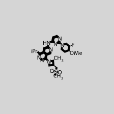 CO[C@@H]1CCN(c2nccc(Nc3cc4c(C(C)C)nnc(N5C[C@H](CS(C)(=O)=O)[C@H]5C)c4cn3)n2)C[C@@H]1F